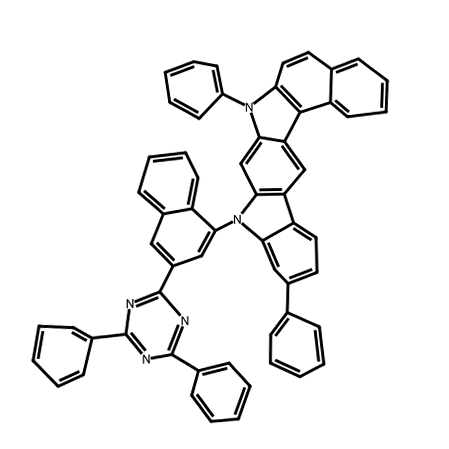 c1ccc(-c2ccc3c4cc5c6c7ccccc7ccc6n(-c6ccccc6)c5cc4n(-c4cc(-c5nc(-c6ccccc6)nc(-c6ccccc6)n5)cc5ccccc45)c3c2)cc1